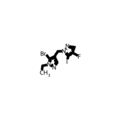 CCn1ncc(Cn2ncc(F)c2I)c1Br